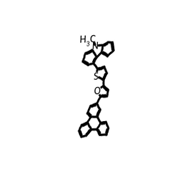 Cn1c2ccccc2c2c(-c3ccc(-c4ccc(-c5ccc6c7ccccc7c7ccccc7c6c5)o4)s3)cccc21